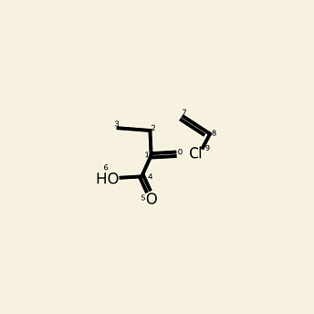 C=C(CC)C(=O)O.C=CCl